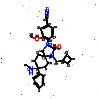 CN[C@]1(c2ccccc2)CC[C@@]2(CC1)CN(c1ccc(C#N)cc1OC)C(=O)N2CC1CCC1